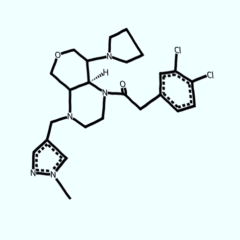 Cn1cc(CN2CCN(C(=O)Cc3ccc(Cl)c(Cl)c3)[C@@H]3C(N4CCCC4)COCC32)cn1